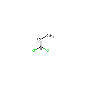 Cl[SiH](Cl)[SiH2][GeH3]